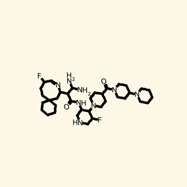 NC(N)C(C(=O)NC1CNCC(F)C1N1CCC(C(=O)N2CCC(N3CCCCC3)CC2)CC1)C1CC2(CCCCC2)CCC(F)/C=N\1